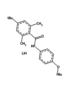 CCCCOc1ccc(PC(=O)c2c(C)cc(C(C)(C)C)cc2C)cc1.[LiH]